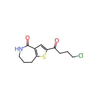 O=C(CCCCl)c1cc2c(s1)CCCNC2=O